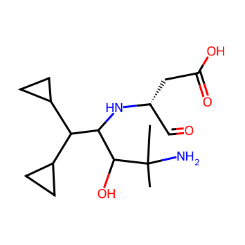 CC(C)(N)C(O)C(N[C@@H](C=O)CC(=O)O)C(C1CC1)C1CC1